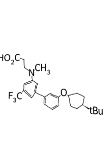 CN(CCC(=O)O)c1cc(-c2cccc(O[C@H]3CC[C@H](C(C)(C)C)CC3)c2)cc(C(F)(F)F)c1